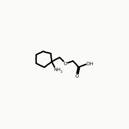 NC1(COCC(=O)O)CCCCC1